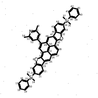 Cc1cc(-c2cc3c4oc5cc([Si](C)(C)c6ccccc6)ccc5c4cc4ccc5c6oc7cc([Si](C)(C)c8ccccc8)ccc7c6cc2c5c43)cc(C)n1